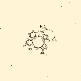 C[C@H]1Oc2cc(cnc2N)-c2c(c(C(=O)N(C)C)nn2CC2CC2)Oc2cccnc2-c2ccc(F)cc21